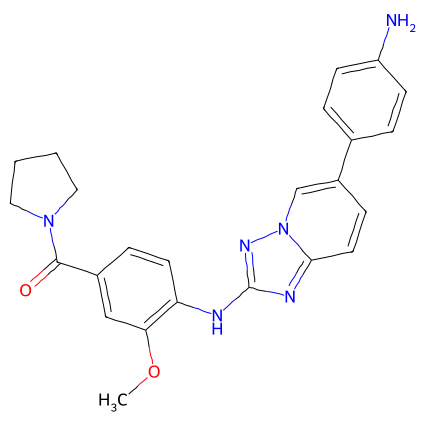 COc1cc(C(=O)N2CCCC2)ccc1Nc1nc2ccc(-c3ccc(N)cc3)cn2n1